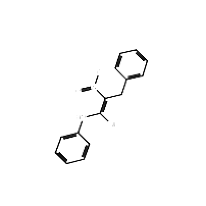 NC(Nc1ccccc1)=C(Cc1ccccc1)[N+](=O)[O-]